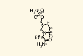 CC[C@@H](C(N)=O)N1CC(COS(C)(=O)=O)CCC1=O